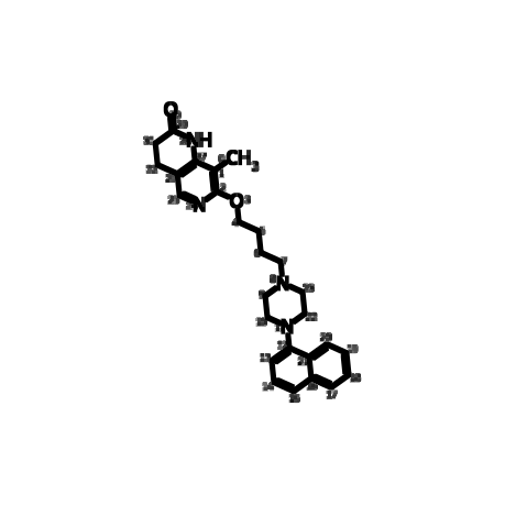 Cc1c(OCCCCN2CCN(c3cccc4ccccc34)CC2)ncc2c1NC(=O)CC2